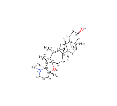 CC1=C2C[C@H]3[C@@H](CC[C@@H]4CC(=O)CC[C@@]43C)[C@@H]2CC[C@@]2(C1)O[C@@H]1CCCN(C(C)C)[C@H]1[C@H]2C